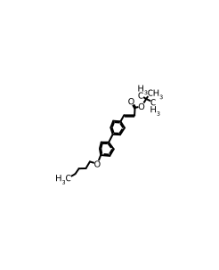 CCCCCOc1ccc(-c2ccc(/C=C/C(=O)OC(C)(C)C)cc2)cc1